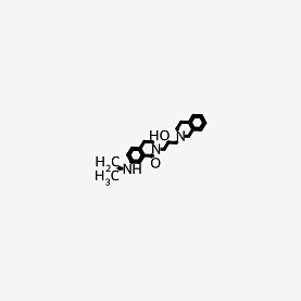 C=C(C)Nc1ccc2c(c1)C(=O)N(CC(O)CN1CCc3ccccc3C1)CC2